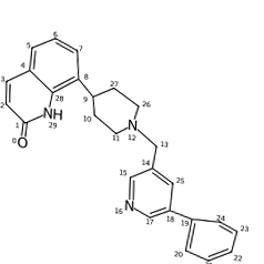 O=c1ccc2cccc(C3CCN(Cc4cncc(-c5ccccc5)c4)CC3)c2[nH]1